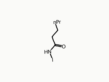 CCCCCC(=O)NI